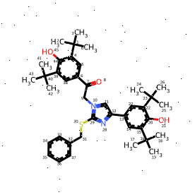 CC(C)(C)c1cc(C(=O)Cn2cc(-c3cc(C(C)(C)C)c(O)c(C(C)(C)C)c3)nc2SCc2ccccc2)cc(C(C)(C)C)c1O